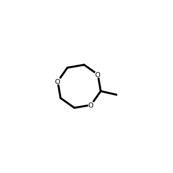 CC1OCCOCCO1